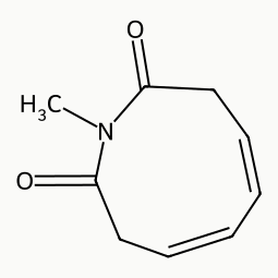 CN1C(=O)C/C=C\C=C/CC1=O